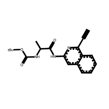 C#Cc1nc(NC(=O)C(C)NC(=O)OC(C)(C)C)cc2ccccc12